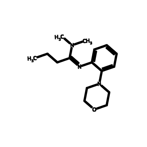 CCC/C(=N/c1ccccc1N1CCOCC1)N(C)C